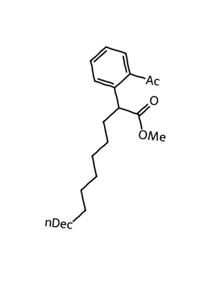 CCCCCCCCCCCCCCCCC(C(=O)OC)c1ccccc1C(C)=O